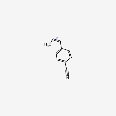 C/C=C\c1ccc(C#N)cc1